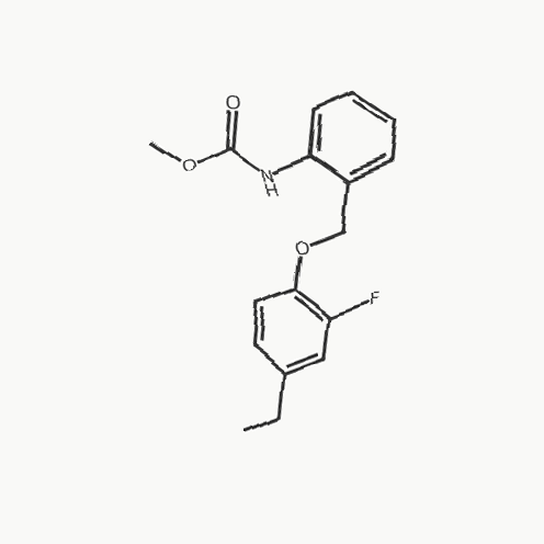 CCc1ccc(OCc2ccccc2NC(=O)OC)c(F)c1